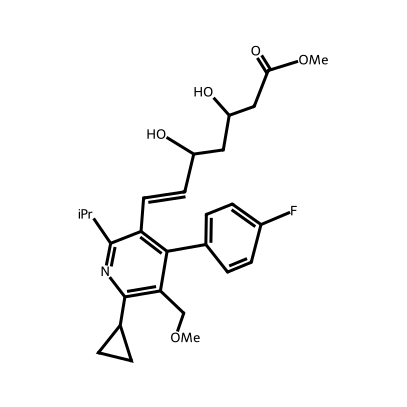 COCc1c(C2CC2)nc(C(C)C)c(C=CC(O)CC(O)CC(=O)OC)c1-c1ccc(F)cc1